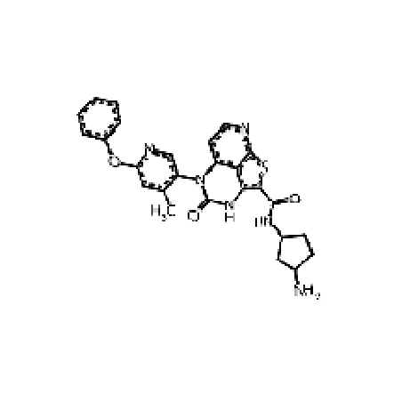 Cc1cc(Oc2ccccc2)ncc1N1C(=O)Nc2c(C(=O)NC3CCC(N)C3)sc3nccc1c23